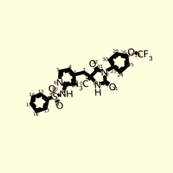 CC1(Cc2ccnc(NS(=O)(=O)c3ccccc3)c2)NC(=O)N(c2ccc(OC(F)(F)F)cc2)C1=O